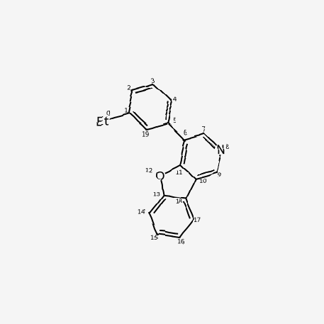 CCc1cccc(-c2cncc3c2oc2ccccc23)c1